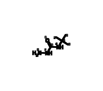 CC(C)(C)NC(=O)NN